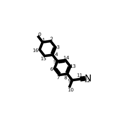 CC1CC=C(c2ccc(C(C)C#N)cc2)CC1